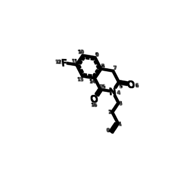 C=CCCN1C(=O)Cc2ccc(F)cc2C1=O